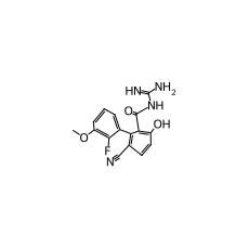 COc1cccc(-c2c(C#N)ccc(O)c2C(=O)NC(=N)N)c1F